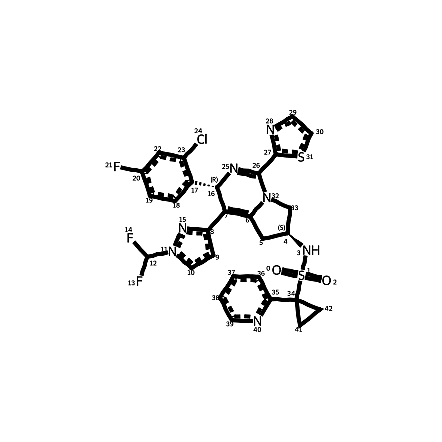 O=S(=O)(N[C@H]1CC2=C(c3ccn(C(F)F)n3)[C@H](c3ccc(F)cc3Cl)N=C(c3nccs3)N2C1)C1(c2ccccn2)CC1